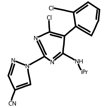 CC(C)Nc1nc(-n2cc(C#N)cn2)nc(Cl)c1-c1ccccc1Cl